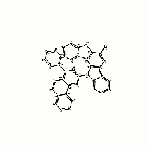 Brc1cc2c3ccccc3n(-c3nc(-c4ccccc4)c4ccc5ccccc5c4n3)c2c2c1sc1ccccc12